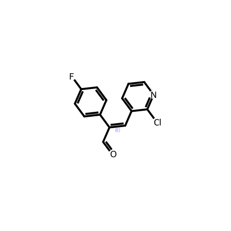 O=C/C(=C/c1cccnc1Cl)c1ccc(F)cc1